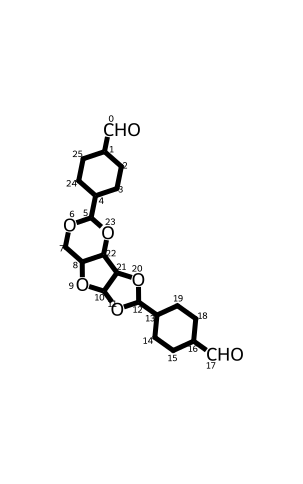 O=CC1CCC(C2OCC3OC4OC(C5CCC(C=O)CC5)OC4C3O2)CC1